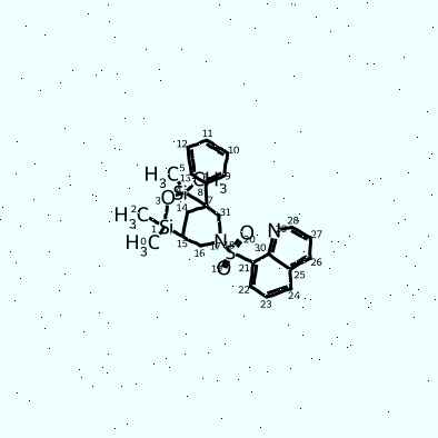 C[Si]1(C)O[Si](C)(C)C2(c3ccccc3)CC1CN(S(=O)(=O)c1cccc3cccnc13)C2